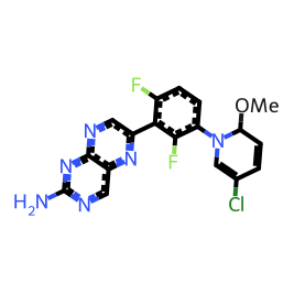 COC1C=CC(Cl)=CN1c1ccc(F)c(-c2cnc3nc(N)ncc3n2)c1F